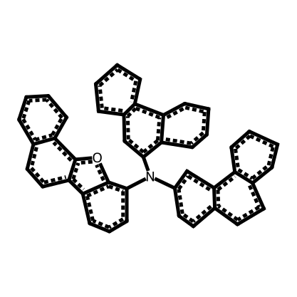 c1ccc2c(c1)ccc1ccc(N(c3cc4ccccc4c4ccccc34)c3cccc4c3oc3c5ccccc5ccc43)cc12